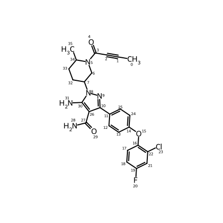 CC#CC(=O)N1CC(n2nc(-c3ccc(Oc4ccc(F)cc4Cl)cc3)c(C(N)=O)c2N)CCC1C